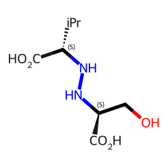 CC(C)[C@H](NN[C@@H](CO)C(=O)O)C(=O)O